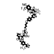 Cc1ncsc1-c1ccc(CNC(=O)C2CCCN2C(=O)C(NC(=O)COCCCCOc2ccc(-c3cncc(N4C(=S)N(c5ccc(C#N)c(C(F)(F)F)c5F)C(=O)C4(C)C)c3)cc2)C(C)(C)C)cc1